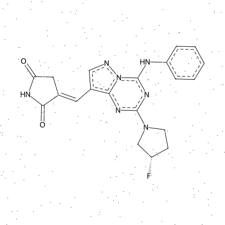 O=C1C/C(=C\c2cnn3c(Nc4ccccc4)nc(N4CC[C@H](F)C4)nc23)C(=O)N1